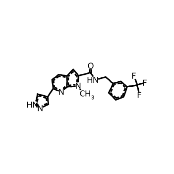 Cn1c(C(=O)NCc2cccc(C(F)(F)F)c2)cc2ccc(-c3cn[nH]c3)nc21